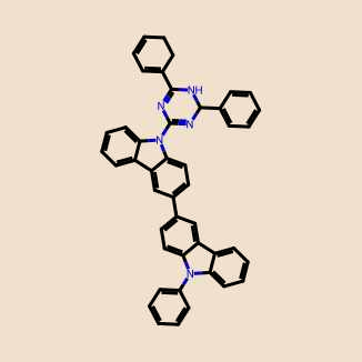 C1=CCCC(C2=NC(n3c4ccccc4c4cc(-c5ccc6c(c5)c5ccccc5n6-c5ccccc5)ccc43)=NC(c3ccccc3)N2)=C1